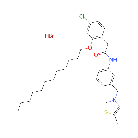 Br.CCCCCCCCCCCCOc1cc(Cl)ccc1CC(=O)Nc1cccc(CN2C=C(C)SC2)c1